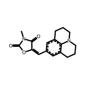 CN1C(=O)O/C(=C/c2cc3c4c(c2)CCCN4CCC3)C1=O